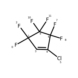 FC1(F)C=C(Cl)C(F)(F)C1(F)F